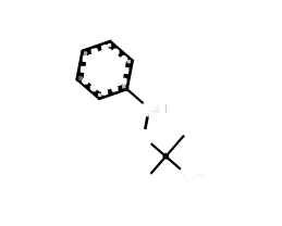 CC(C)C(C)(O)O[SiH2]c1ccccc1